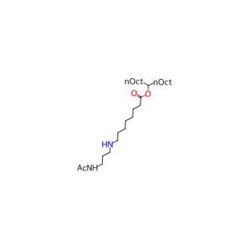 CCCCCCCCC(CCCCCCCC)OC(=O)CCCCCCCNCCCNC(C)=O